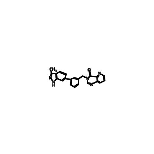 Cc1n[nH]c2cc(-c3cccc(Cn4cnc5cccnc5c4=O)c3)ccc12